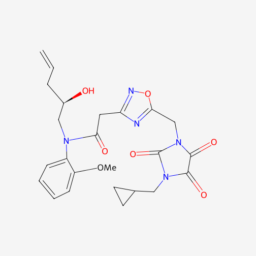 C=CC[C@@H](O)CN(C(=O)Cc1noc(CN2C(=O)C(=O)N(CC3CC3)C2=O)n1)c1ccccc1OC